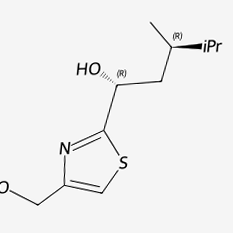 CC(C)[C@H](C)C[C@@H](O)c1nc(CO)cs1